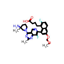 COCOc1cc(-c2ncc3c(N4CCC[C@@](C)(N)C4)nc(C)nc3c2F)c2c(CCCC(=O)O)c(F)ccc2c1